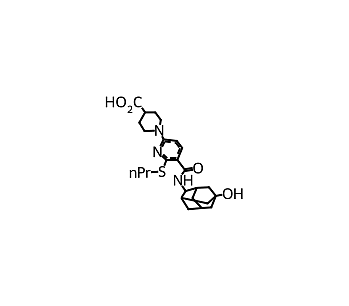 CCCSc1nc(N2CCC(C(=O)O)CC2)ccc1C(=O)NC1C2CC3CC1CC(O)(C3)C2